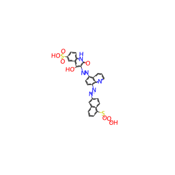 O=c1[nH]c2ccc(S(=O)(=O)O)cc2c(O)c1/N=N/c1ccc(/N=N/c2ccc3c(SOOO)cccc3c2)c2ncccc12